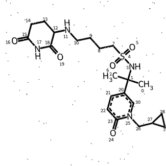 CC(C)(NS(=O)(=O)CCCCNC1CCC(=O)NC1=O)c1ccc(=O)n(CC2CC2)c1